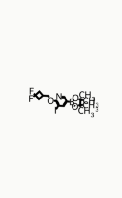 CC1(C)OB(c2cnc(OCC3CC(F)(F)C3)c(I)c2)OC1(C)C